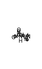 Cc1cc(Oc2ccnc(Nc3cc(N4CCOCC4)cc(N4CCOCC4)c3)c2)c(-c2ccccn2)nc1C